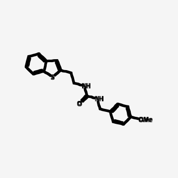 COc1ccc(CNC(=O)NCCc2cc3ccccc3s2)cc1